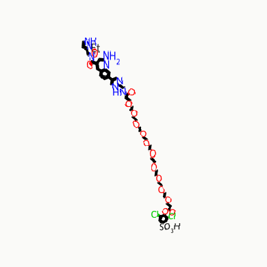 CCON(Cc1cc[nH]n1)C(=O)C1=Cc2ccc(-c3cnc(CNC(=O)CCOCCOCCOCCOCCOCCOCCOCCOCCOCCOCCC(=O)Oc4c(Cl)cc(S(=O)(=O)O)cc4Cl)nc3)cc2N=C(N)C1